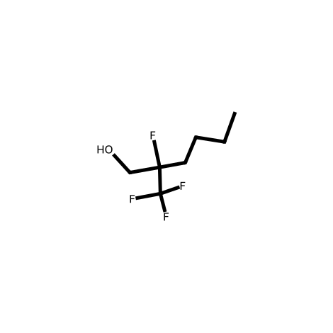 CCCCC(F)(CO)C(F)(F)F